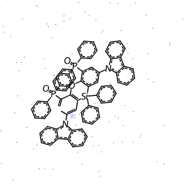 C=C(C1=C(/C=C(\C)n2c3ccccc3c3ccccc32)[Si](c2ccccc2)(c2ccccc2)c2cc(-n3c4ccccc4c4ccccc43)cc(P(=O)(c3ccccc3)c3ccccc3)c2O1)P(=O)(c1ccccc1)c1ccccc1